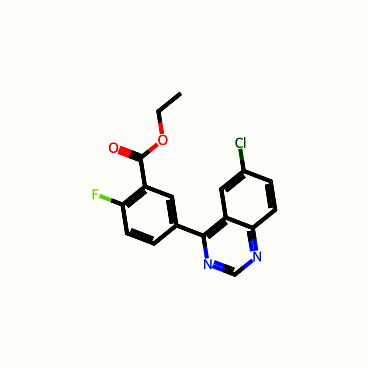 CCOC(=O)c1cc(-c2ncnc3ccc(Cl)cc23)ccc1F